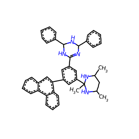 CC1CC(C)NC(C)(c2cc(C3=NC(c4ccccc4)NC(c4ccccc4)N3)cc(-c3cc4ccccc4c4ccccc34)c2)N1